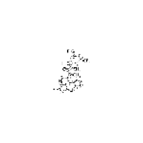 CCn1ncc2c(-c3ccsc3Cl)c(N(C)C(=O)C(C)(C)c3cc(C(F)(F)F)cc(C(F)(F)F)c3)cnc21